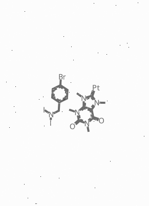 Brc1ccc(CN(I)I)cc1.Cn1c(=O)c2c(n(C)c1=O)n(C)[c](=[Pt])n2C